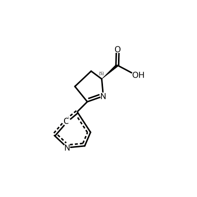 O=C(O)[C@@H]1CCC(c2ccncc2)=N1